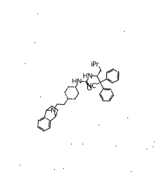 CC(C)C[C@H](NC(=O)NC1CCC(CCN2C3CCC2c2ccccc23)CC1)C(C#N)(c1ccccc1)c1ccccc1